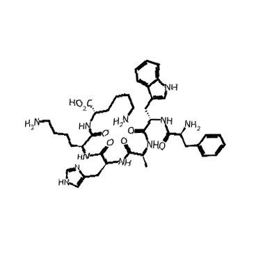 C[C@H](NC(=O)[C@H](Cc1c[nH]c2ccccc12)NC(=O)[C@@H](N)Cc1ccccc1)C(=O)N[C@@H](Cc1c[nH]cn1)C(=O)N[C@@H](CCCCN)C(=O)N[C@@H](CCCCN)C(=O)O